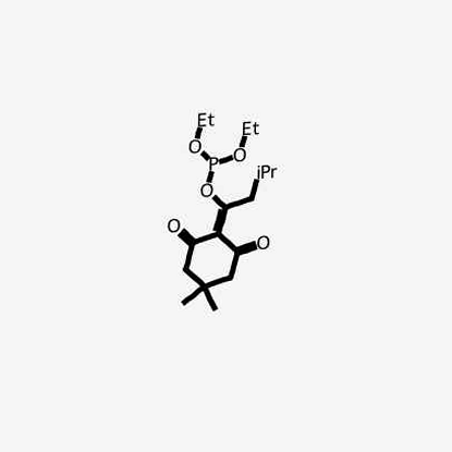 CCOP(OCC)OC(CC(C)C)=C1C(=O)CC(C)(C)CC1=O